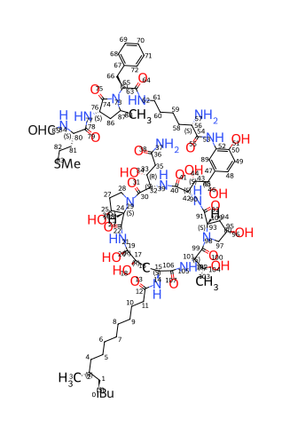 CC[C@H](C)C[C@H](C)CCCCCCCCC(=O)N[C@H]1C[C@@H](O)[C@@H](O)NC(=O)[C@@H]2[C@@H](O)CCN2C(=O)[C@H]([C@H](O)CC(N)=O)NC(=O)[C@H]([C@H](O)[C@@H](O)c2ccc(O)c(NC(=O)[C@@H](N)CCCCNC(=O)[C@H](Cc3ccccc3)N3C(=O)[C@@H](NC(=O)[C@H](CCSC)NC=O)CC3C)c2)NC(=O)[C@@H]2C[C@@H](O)CN2C(=O)[C@H]([C@@H](C)O)NC1=O